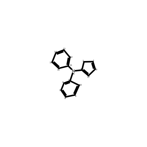 C1=CCC(N(c2ccccc2)c2ccccc2)=C1